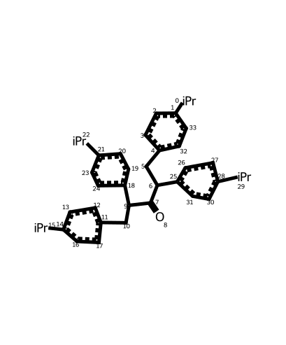 CC(C)c1ccc(CC(C(=O)C(Cc2ccc(C(C)C)cc2)c2ccc(C(C)C)cc2)c2ccc(C(C)C)cc2)cc1